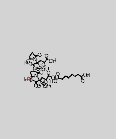 O=C(O)CCC(C(=O)O)(N1C(=O)CCC1=O)S(=O)(=O)O.O=C(O)CCC(C(=O)O)(N1C(=O)CCC1=O)S(=O)(=O)O.O=C(O)CCCCCCC(=O)O